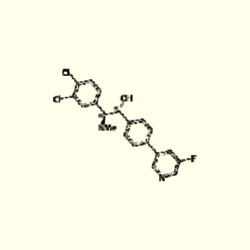 CN[C@@H](c1ccc(Cl)c(Cl)c1)[C@H](O)c1ccc(-c2cncc(F)c2)cc1